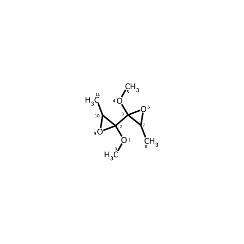 COC1(C2(OC)OC2C)OC1C